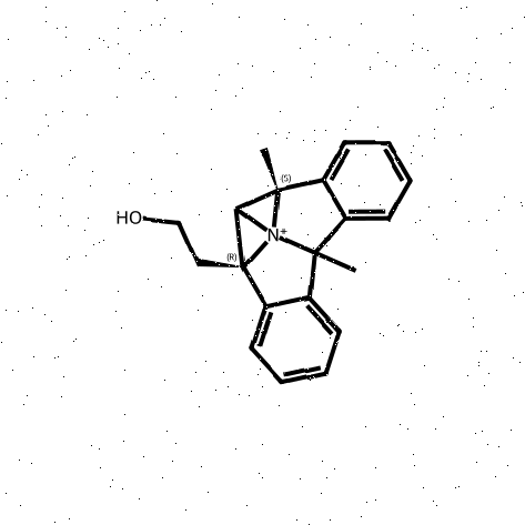 CC12c3ccccc3[C@@]3(C)C4[C@@](CCO)(c5ccccc51)[N+]423